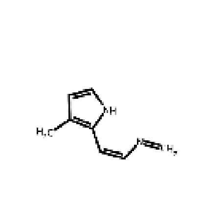 C=N/C=C\c1[nH]ccc1C